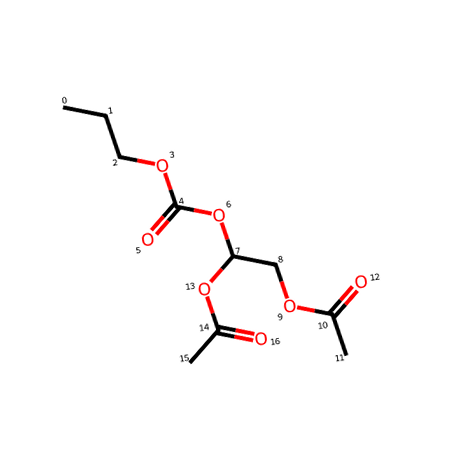 CCCOC(=O)OC(COC(C)=O)OC(C)=O